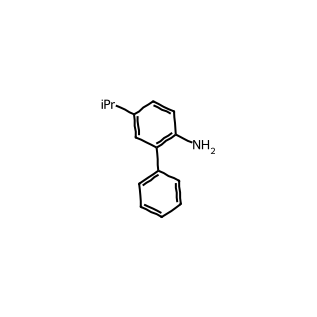 CC(C)c1ccc(N)c(-c2ccccc2)c1